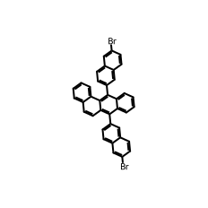 Brc1ccc2cc(-c3c4ccccc4c(-c4ccc5cc(Br)ccc5c4)c4c3ccc3ccccc34)ccc2c1